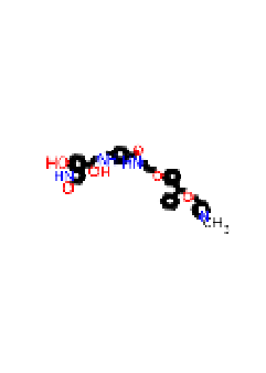 CN1CCC(COCC(c2ccccc2)c2cccc(OCCCNC(=O)c3ccc(CNCC(O)c4ccc(O)c5[nH]c(=O)ccc45)cc3)c2)CC1